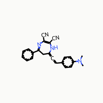 CN(C)c1ccc(C=C=C2CC(c3ccccc3)=NC(C#N)=C(C#N)N2)cc1